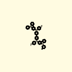 CC1C=C(n2c3ccccc3c3cc(N(c4ccc(F)cc4)c4ccc(-c5ccc(N(c6ccc(F)cc6)c6ccc7c(c6)c6ccccc6n7-c6ccccc6)cc5)cc4)ccc32)C=CC1